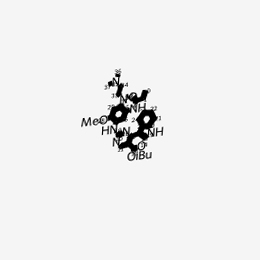 C=CC(=O)Nc1cc(Nc2ncc(C(=O)OCC(C)C)c(-c3c[nH]c4ccccc34)n2)c(OC)cc1N(C)CCN(C)C